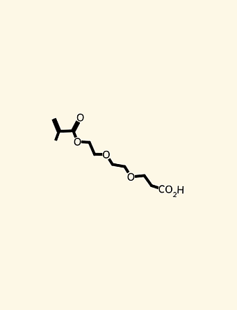 C=C(C)C(=O)OCCOCCOCCC(=O)O